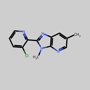 Cc1cnc2c(c1)nc(-c1ncccc1Cl)n2C